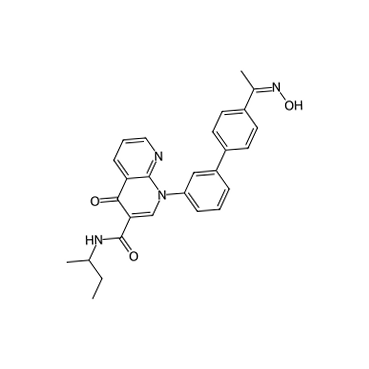 CCC(C)NC(=O)c1cn(-c2cccc(-c3ccc(/C(C)=N\O)cc3)c2)c2ncccc2c1=O